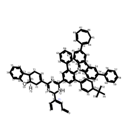 C=C/C=C(\C=C)C1N=C(C2=CCC3c4ccccc4O[C@@H]3C2)N=C(c2cc(C3=CCC(C(C)(C)C)C=C3)c(-n3c4ccc(C5=CCC=CC=C5)cc4c4cc(-c5ccccc5)ccc43)c(-c3ccccc3)c2)N1